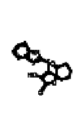 O=C1OC2(CCCCC2=O)C(Sc2nc3ccccc3s2)=C1O